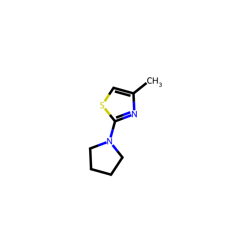 Cc1csc(N2CCCC2)n1